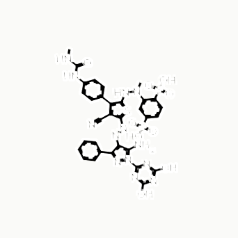 CNC(=O)Nc1ccc(-c2c(NN(C)c3cc(S(=O)(=O)O)ccc3S(=O)(=O)O)sc(N=Nc3c(-c4ccccc4)nn(-c4nc(O)nc(O)n4)c3N)c2C#N)cc1